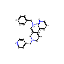 C1=C2CN(Cc3ccncc3)CC=C2c2cccnc2N1Cc1ccccc1